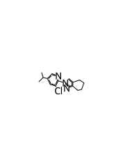 CC(C)c1cnc(-n2cc3c(n2)CCCC3)c(Cl)c1